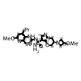 COc1cc(C(C)C)c(NC(=O)N=S(N)(=O)c2cnn3c2OC[C@H](N2CC(OC)C2)C3)c(C(C)C)n1